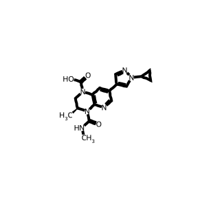 CNC(=O)N1c2ncc(-c3cnn(C4CC4)c3)cc2N(C(=O)O)C[C@@H]1C